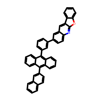 c1cc(-c2ccc3nc4oc5ccccc5c4cc3c2)cc(-c2c3ccccc3c(-c3ccc4ccccc4c3)c3ccccc23)c1